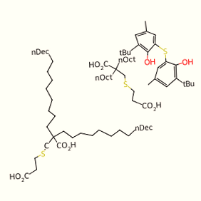 CCCCCCCCC(CCCCCCCC)(CSCCC(=O)O)C(=O)O.CCCCCCCCCCCCCCCCCCC(CCCCCCCCCCCCCCCCCC)(CSCCC(=O)O)C(=O)O.Cc1cc(Sc2cc(C)cc(C(C)(C)C)c2O)c(O)c(C(C)(C)C)c1